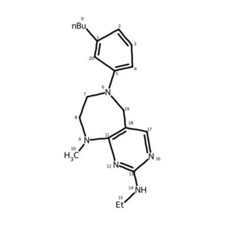 CCCCc1cccc(N2CCN(C)c3nc(NCC)ncc3C2)c1